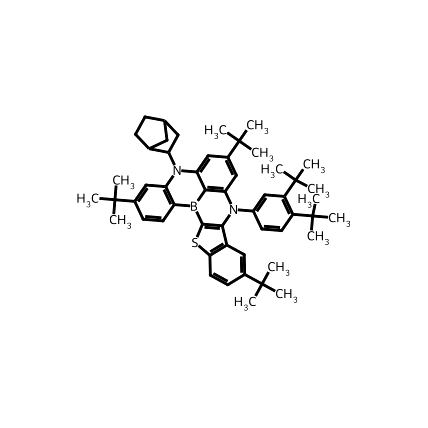 CC(C)(C)c1ccc2c(c1)N(C1CC3CCC1C3)c1cc(C(C)(C)C)cc3c1B2c1sc2ccc(C(C)(C)C)cc2c1N3c1ccc(C(C)(C)C)c(C(C)(C)C)c1